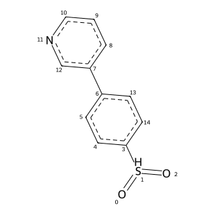 O=[SH](=O)c1ccc(-c2cccnc2)cc1